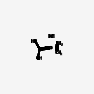 C=C.Cl.O=C(O)O